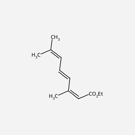 CCOC(=O)C=C(C)C=CC=C(C)C